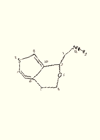 NCC1OCCc2cscc21